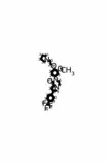 COc1cc(N2CCn3cc(-c4ccc(C(F)(F)F)cc4)cc3C2=O)ccc1OCCN1CCCC1